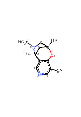 N#Cc1cncc2c1O[C@H]1C[C@@H]2N(C(=O)O)C1